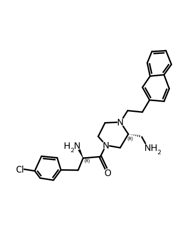 NC[C@@H]1CN(C(=O)[C@H](N)Cc2ccc(Cl)cc2)CCN1CCc1ccc2ccccc2c1